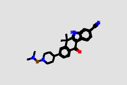 CN(C)SN1CCC(c2ccc3c(c2)C(C)(C)c2[nH]c4cc(C#N)ccc4c2C3=O)CC1